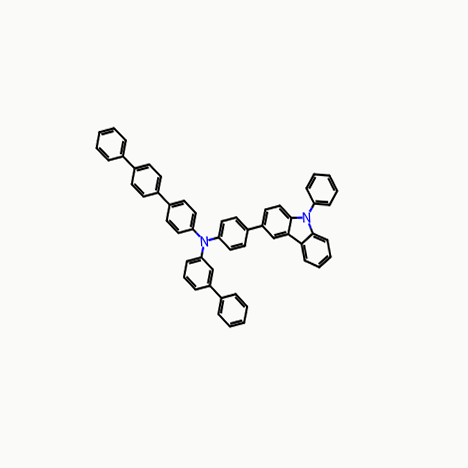 c1ccc(-c2ccc(-c3ccc(N(c4ccc(-c5ccc6c(c5)c5ccccc5n6-c5ccccc5)cc4)c4cccc(-c5ccccc5)c4)cc3)cc2)cc1